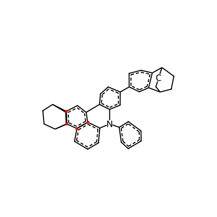 c1ccc(N(c2ccccc2)c2cc(-c3ccc4c(c3)C3CCC4CC3)ccc2-c2ccc3c(c2)C2CCC3CC2)cc1